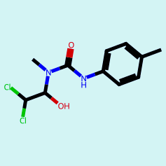 Cc1ccc(NC(=O)N(C)C(O)C(Cl)Cl)cc1